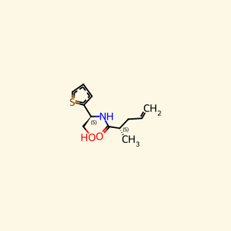 C=CC[C@H](C)C(=O)N[C@@H](CO)c1cccs1